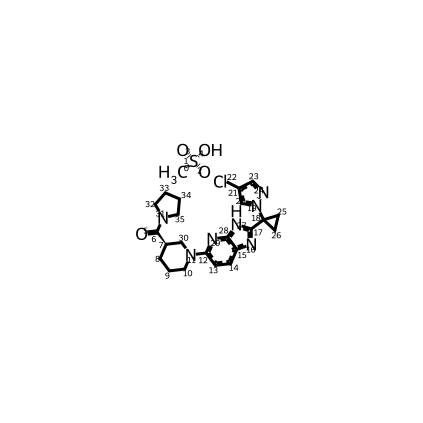 CS(=O)(=O)O.O=C([C@@H]1CCCN(c2ccc3nc(C4(n5cc(Cl)cn5)CC4)[nH]c3n2)C1)N1CCCC1